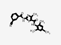 Cc1cc(C)c(NC(=O)c2sc(NC(=O)c3cccc(C#N)c3)nc2C)c(C)c1